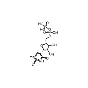 Cn1cc([C@@H]2O[C@H](COP(=O)(O)OP(=O)(O)O)[C@@H](O)[C@H]2O)c(=O)[nH]c1=O